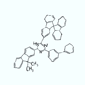 CC1(C)c2ccccc2-c2ccc(C3N=C(c4cccc(C5=CC=CCC5)c4)N=C(C4=CC5C(C=C4)C4=C(C=CCC4)C54C5=C(C=CCC5)C5CCC=CC54)N3)cc21